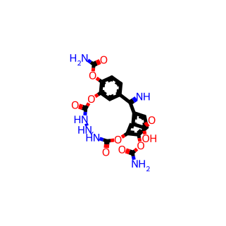 N=C1c2ccc(OC(N)=O)c(c2)OC(=O)NNNC(=O)Oc2c(OC(N)=O)ccc1c2C(=O)O